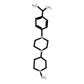 CC(C)c1ccc(N2CCN(C3CCN(C)CC3)CC2)cc1